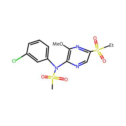 CCS(=O)(=O)c1cnc(N(c2cccc(Cl)c2)S(C)(=O)=O)c(OC)n1